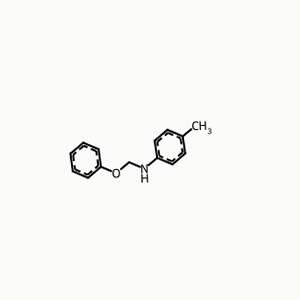 Cc1ccc(NCOc2ccccc2)cc1